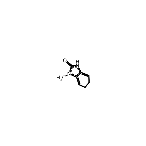 Cn1c(=O)[nH]c2c1=CCCC=2